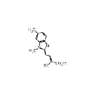 CCOC(=O)/C(C#N)=C/C=C1\Oc2ccc(C)cc2N1C